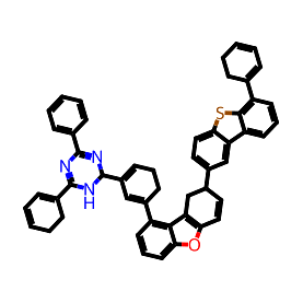 C1=CCCC(C2=NC(c3ccccc3)=NC(C3=CCCC(c4cccc5oc6c(c45)CC(c4ccc5sc7c(C8=CC=CCC8)cccc7c5c4)C=C6)=C3)N2)=C1